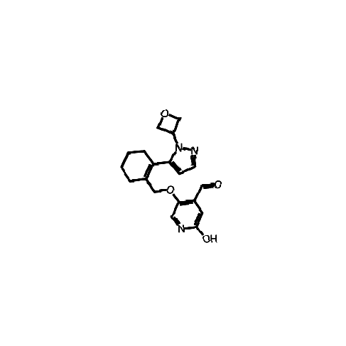 O=Cc1cc(O)ncc1OCC1=C(c2ccnn2C2COC2)CCCC1